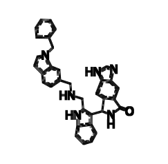 O=C1NC(c2c(CNCc3ccc4ccn(Cc5ccccc5)c4c3)[nH]c3ccccc23)c2cc3[nH]cnc3cc21